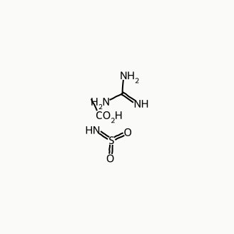 CC(=O)O.N=C(N)N.N=S(=O)=O